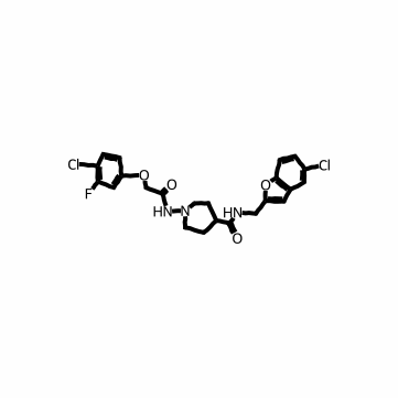 O=C(COc1ccc(Cl)c(F)c1)NN1CCC(C(=O)NCc2cc3cc(Cl)ccc3o2)CC1